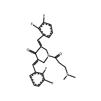 CN(C)CCC(=O)N1C/C(=C\c2cccc(F)c2F)C(=O)/C(=C/c2cccc(F)c2F)C1